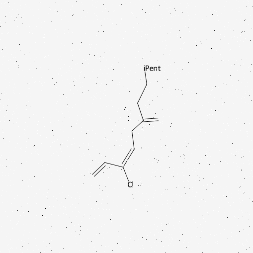 C=C/C(Cl)=C\CC(=C)CCC(C)CCC